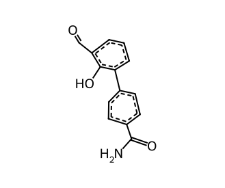 NC(=O)c1ccc(-c2cccc(C=O)c2O)cc1